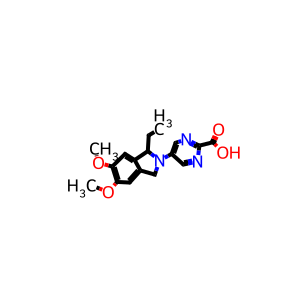 CCC1c2cc(OC)c(OC)cc2CN1c1cnc(C(=O)O)nc1